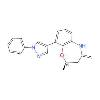 C=C1C[C@@H](C)Oc2c(cccc2-c2cnn(-c3ccccc3)c2)N1